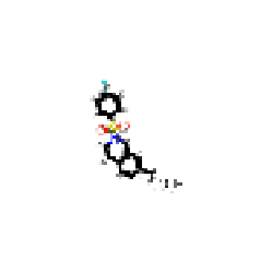 O=C(O)Cc1ccc2c(c1)CN(S(=O)(=O)c1ccc(F)cc1)CC2